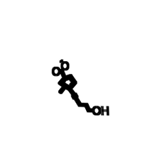 COC(=O)c1ccc(C#CCCCO)c(C)c1